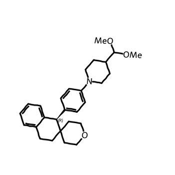 COC(OC)C1CCN(c2ccc([C@@H]3c4ccccc4CCC34CCOCC4)cc2)CC1